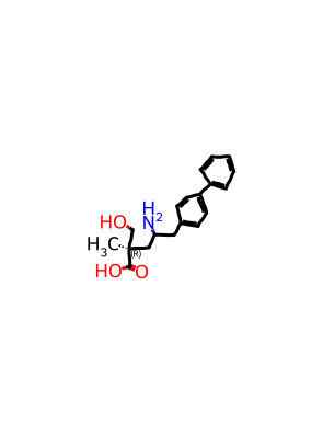 C[C@](CO)(CC(N)Cc1ccc(-c2ccccc2)cc1)C(=O)O